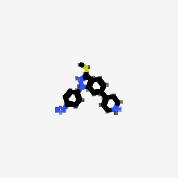 CSc1nn(-c2ccc(N)cc2)c2cc(C3=CCNCC3)ccc12